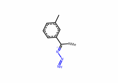 CN/C(=N\N=N)c1cccc(C)c1